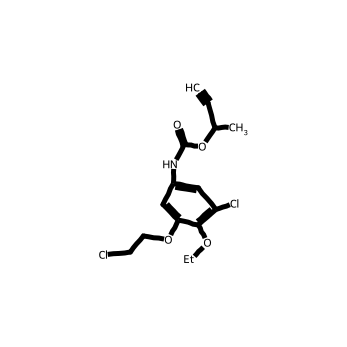 C#CC(C)OC(=O)Nc1cc(Cl)c(OCC)c(OCCCl)c1